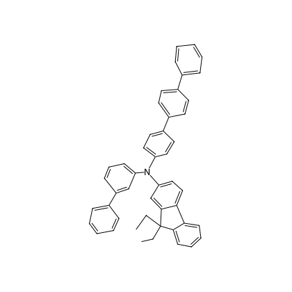 CCC1(CC)c2ccccc2-c2ccc(N(c3ccc(-c4ccc(-c5ccccc5)cc4)cc3)c3cccc(-c4ccccc4)c3)cc21